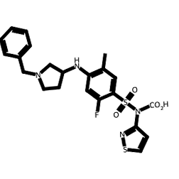 Cc1cc(S(=O)(=O)N(C(=O)O)c2ccsn2)c(F)cc1NC1CCN(Cc2ccccc2)C1